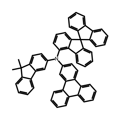 CC1(C)c2ccccc2-c2cc(N(c3ccc4c5ccccc5c5ccccc5c4c3)c3cccc4c3-c3ccccc3C43c4ccccc4-c4ccccc43)ccc21